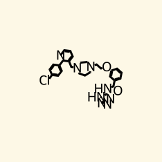 O=C(Nc1nnn[nH]1)c1cccc(OCCN2CCCN(Cc3cccnc3-c3ccc(Cl)cc3)CC2)c1